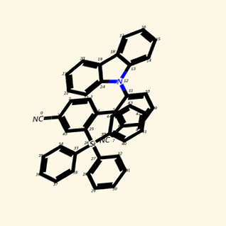 N#Cc1ccc(-c2c(C#N)cccc2-n2c3ccccc3c3ccccc32)c([Si](c2ccccc2)(c2ccccc2)c2ccccc2)c1